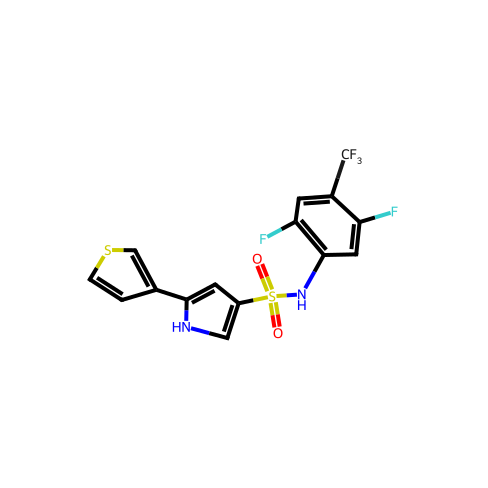 O=S(=O)(Nc1cc(F)c(C(F)(F)F)cc1F)c1c[nH]c(-c2ccsc2)c1